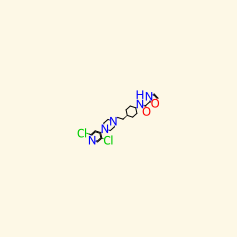 O=C(N[C@H]1CC[C@H](CCN2CCN(c3cc(Cl)ncc3Cl)CC2)CC1)c1ncco1